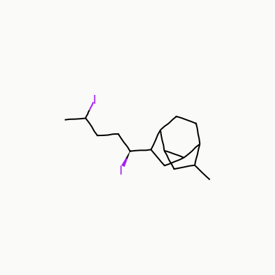 CC(I)CC[C@H](I)C1CC2C3CCC1C2CC3C